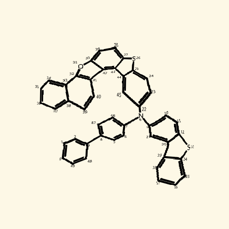 c1ccc(-c2ccc(N(c3ccc4sc5ccccc5c4c3)c3ccc4sc5ccc6oc7c8ccccc8ccc7c6c5c4c3)cc2)cc1